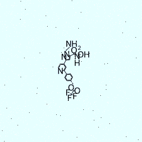 NCCn1nc(-c2ccnc(-c3ccc(COC(=O)C(F)(F)F)cc3)c2)cc1C(=O)NO